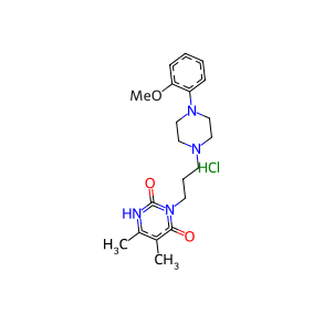 COc1ccccc1N1CCN(CCCn2c(=O)[nH]c(C)c(C)c2=O)CC1.Cl